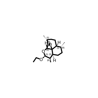 CCO[C@H]1O[C@@H]2O[C@]3(C)CC[C@H]4[C@H](C)CC[C@@H]([C@H]1C)C24OO3